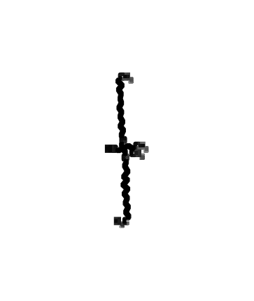 CCCCCCCCCCCCCCOCC(CO)(COCCCCCCCCCCCCCC)CC(C)C